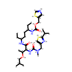 CCC(CCC(CC)NC(=O)C(NC(=O)N(C)Cc1csc(C(C)C)n1)C(C)OCC(C)C)NC(=O)OCc1cncs1